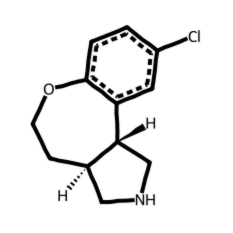 Clc1ccc2c(c1)[C@@H]1CNC[C@H]1CCO2